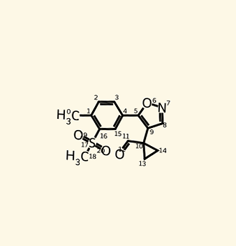 Cc1ccc(-c2oncc2C2(C=O)CC2)cc1S(C)(=O)=O